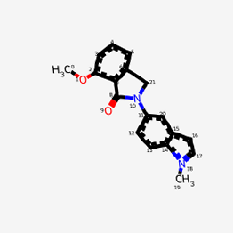 COc1cccc2c1C(=O)N(c1ccc3c(ccn3C)c1)C2